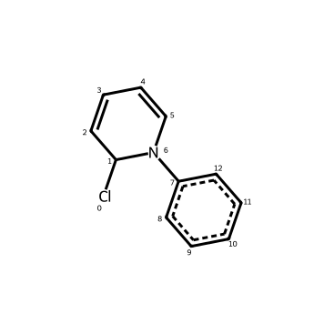 ClC1C=CC=CN1c1ccccc1